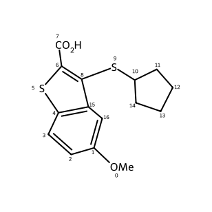 COc1ccc2sc(C(=O)O)c(SC3CCCC3)c2c1